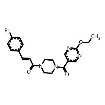 CCOc1ncc(C(=O)N2CCN(C(=O)/C=C/c3ccc(Br)cc3)CC2)cn1